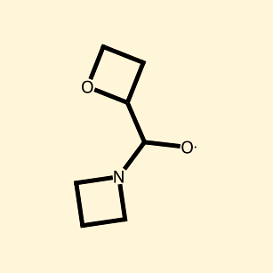 [O]C(C1CCO1)N1CCC1